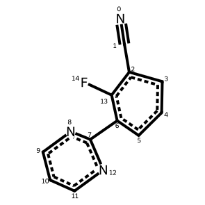 N#Cc1cccc(-c2ncccn2)c1F